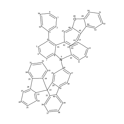 c1ccc(-c2cccc(N(c3ccccc3)c3ccc4c(c3)C3(c5ccccc5-c5ccccc53)c3ccccc3-4)c2-c2ccc3c(c2)oc2ccccc23)cc1